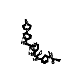 C=CC(=O)Nc1cccc(NC(=O)Nc2ccnc(Nc3ccc(N4CCN(C)CC4)cn3)n2)c1